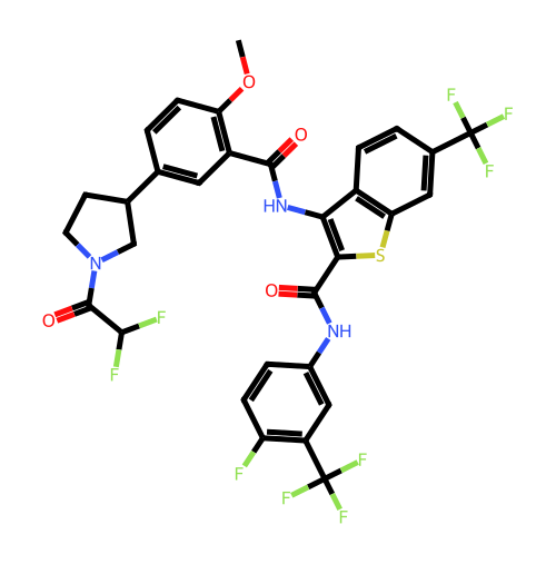 COc1ccc(C2CCN(C(=O)C(F)F)C2)cc1C(=O)Nc1c(C(=O)Nc2ccc(F)c(C(F)(F)F)c2)sc2cc(C(F)(F)F)ccc12